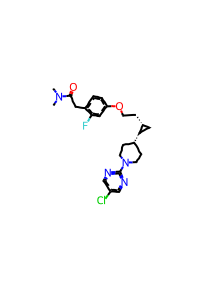 CN(C)C(=O)Cc1ccc(OCC[C@@H]2C[C@@H]2C2CCN(c3ncc(Cl)cn3)CC2)cc1F